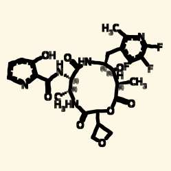 Cc1nc(F)c(F)c(F)c1C[C@@H]1NC(=O)[C@@H](NC(=O)c2ncccc2O)[C@@H](C)NC(=O)C(C2COC2)OC(=O)[C@H](C)[C@@H]1O